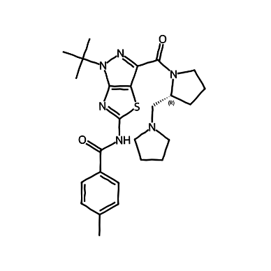 Cc1ccc(C(=O)Nc2nc3c(s2)c(C(=O)N2CCC[C@@H]2CN2CCCC2)nn3C(C)(C)C)cc1